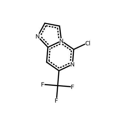 FC(F)(F)c1cc2nccn2c(Cl)n1